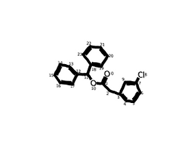 O=C(Cc1cccc(Cl)c1)OC(c1ccccc1)c1ccccc1